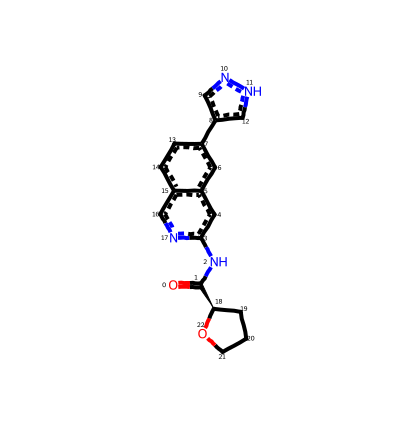 O=C(Nc1cc2cc(-c3cn[nH]c3)ccc2cn1)[C@H]1CCCO1